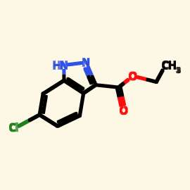 CCOC(=O)c1n[nH]c2cc(Cl)ccc12